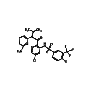 CC(C)N(C(=O)c1ncc(Cl)cc1NS(=O)(=O)c1ccc(Cl)c(C(F)(F)F)c1)c1cccc(N)n1